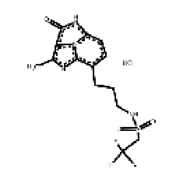 Cc1nc2c(CCCNS(=O)(=O)CC(F)(F)F)ccc3[nH]c(=O)c1n32.Cl